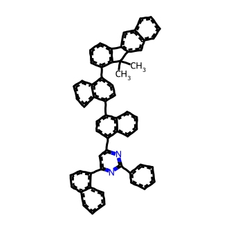 CC1(C)c2cc3ccccc3cc2-c2cccc(-c3ccc(-c4ccc(-c5cc(-c6cccc7ccccc67)nc(-c6ccccc6)n5)c5ccccc45)c4ccccc34)c21